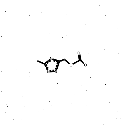 Cc1nsc(COC([O])=O)n1